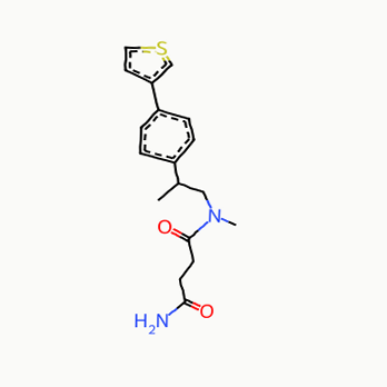 CC(CN(C)C(=O)CCC(N)=O)c1ccc(-c2ccsc2)cc1